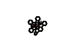 c1ccc2c(c1)Oc1ccccc1C21c2ccccc2-c2ccc(-c3ccccc3N(c3ccccc3-c3cccc4ccccc34)c3cccc4ccccc34)cc21